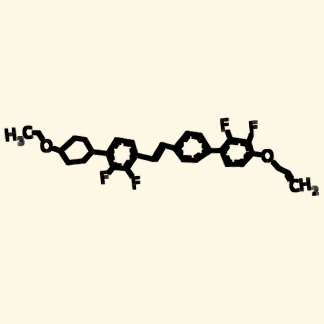 C=CCOc1ccc(-c2ccc(/C=C/c3ccc(C4CCC(OCC)CC4)c(F)c3F)cc2)c(F)c1F